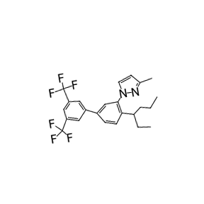 CCCC(CC)c1ccc(-c2cc(C(F)(F)F)cc(C(F)(F)F)c2)cc1-n1ccc(C)n1